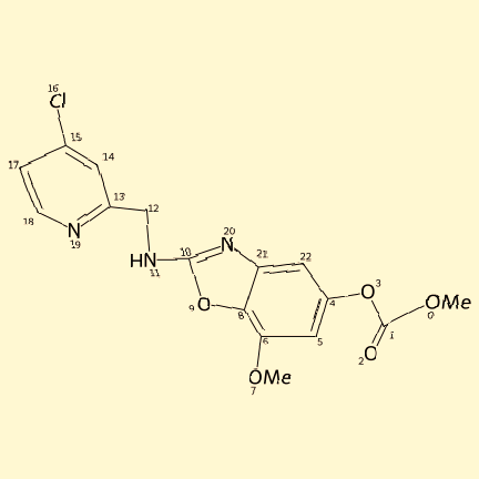 COC(=O)Oc1cc(OC)c2oc(NCc3cc(Cl)ccn3)nc2c1